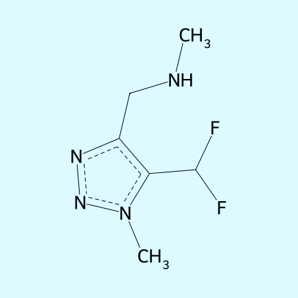 CNCc1nnn(C)c1C(F)F